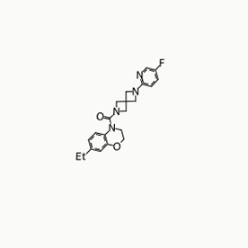 CCc1ccc2c(c1)OCCN2C(=O)N1CC2(C1)CN(c1ccc(F)cn1)C2